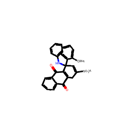 COc1ccccc1C1(Nc2ccccc2)C=C(S(=O)(=O)O)CC2=C1C(=O)c1ccccc1C2=O